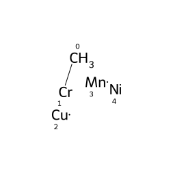 [CH3][Cr].[Cu].[Mn].[Ni]